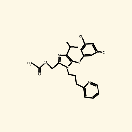 CC(C)c1nc(COC(N)=O)n(CCCc2ccccn2)c1Sc1cc(Cl)cc(Cl)c1